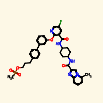 Cc1cccc2nc(C(=O)NC3CCC(NC(=O)c4cc(F)cnc4Oc4cccc(-c5ccc(CCCOS(C)(=O)=O)cc5)c4)CC3)cn12